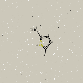 Cc1c[c]c(C=O)s1